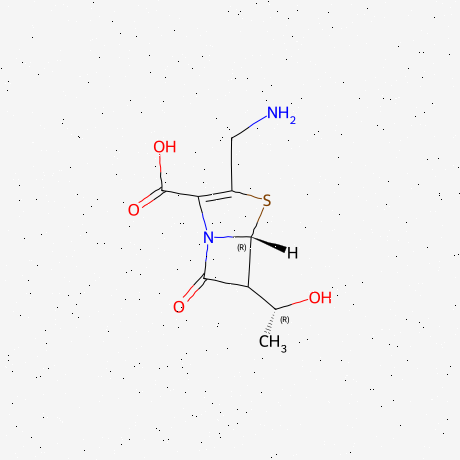 C[C@@H](O)C1C(=O)N2C(C(=O)O)=C(CN)S[C@H]12